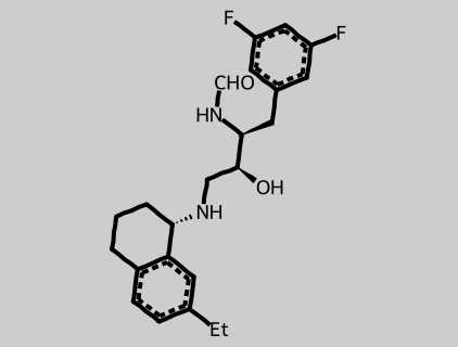 CCc1ccc2c(c1)[C@@H](NC[C@H](O)[C@H](Cc1cc(F)cc(F)c1)NC=O)CCC2